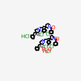 CC(=O)C1(Cc2ccccc2)CCN(CCCC2(c3ccc(Cl)c(Cl)c3)CCCN(C(=O)c3ccccc3)C2)CC1.CC(=O)C1(Cc2ccccc2)CCN(CCCC2(c3ccc(Cl)c(Cl)c3)CCCN(C(=O)c3ccccc3)C2)CC1.Cl.Cl.O